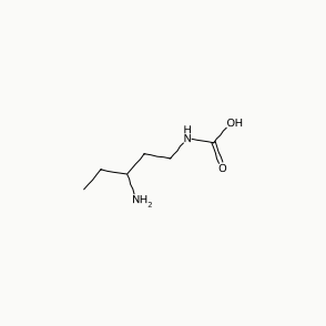 CCC(N)CCNC(=O)O